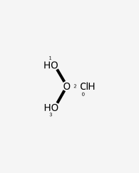 Cl.OOO